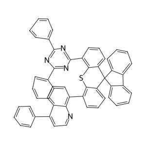 c1ccc(-c2nc(-c3ccccc3)nc(-c3cccc4c3Sc3c(-c5cccc6c(-c7ccccc7)ccnc56)cccc3C43c4ccccc4-c4ccccc43)n2)cc1